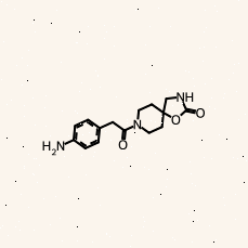 Nc1ccc(CC(=O)N2CCC3(CC2)CNC(=O)O3)cc1